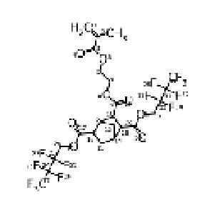 C=C(C)C(=O)OCCOC(=O)C1C2CC(CC2C(=O)OCC(F)(F)C(F)(F)C(F)(F)F)C1C(=O)OCC(F)(F)C(F)(F)C(F)(F)F